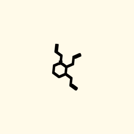 C=CCC1CCCN(CC=C)C1CC=C